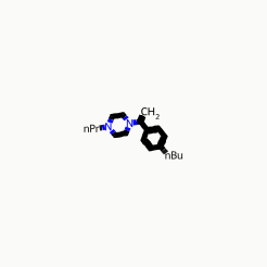 C=C(c1ccc(CCCC)cc1)N1CCN(CCC)CC1